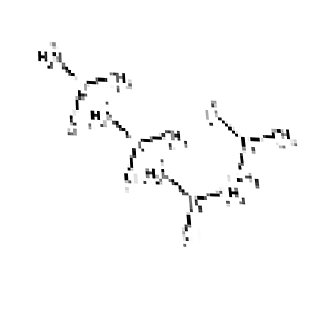 [CH3][Ti]([CH3])[NH2].[CH3][Ti]([CH3])[NH2].[CH3][Ti]([CH3])[NH2].[CH3][Ti]([CH3])[NH2]